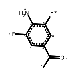 CC(=O)c1cc(F)c(N)c(F)c1